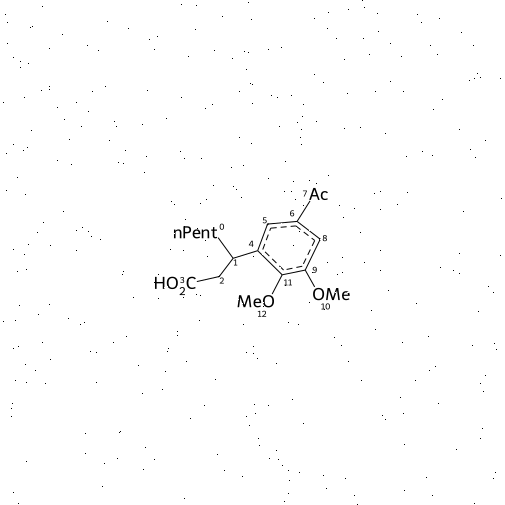 CCCCCC(CC(=O)O)c1cc(C(C)=O)cc(OC)c1OC